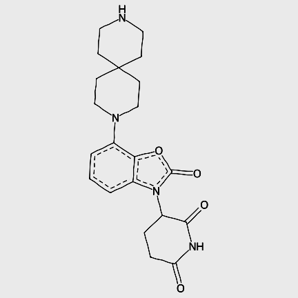 O=C1CCC(n2c(=O)oc3c(N4CCC5(CCNCC5)CC4)cccc32)C(=O)N1